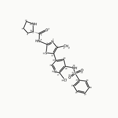 Cc1nc(NC(=O)[C@@H]2CCCN2)sc1-c1cnc(Cl)c(NS(=O)(=O)c2ccccc2)c1